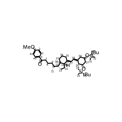 COc1ccc(C(=O)CCC[C@@H](C)[C@H]2CC[C@H]3/C(=C/C=C4C[C@@H](O[Si](C)(C)C(C)(C)C)C[C@H](O[Si](C)(C)C(C)(C)C)C4)CCC[C@]23C)cc1